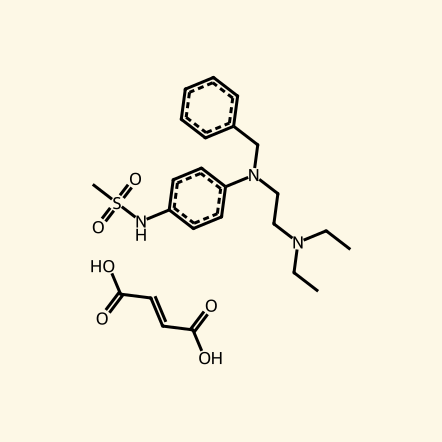 CCN(CC)CCN(Cc1ccccc1)c1ccc(NS(C)(=O)=O)cc1.O=C(O)/C=C/C(=O)O